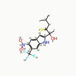 CC(C)CC(=S)C(C)(O)c1cc2cc([N+](=O)[O-])c(C(F)(F)F)cc2[nH]1